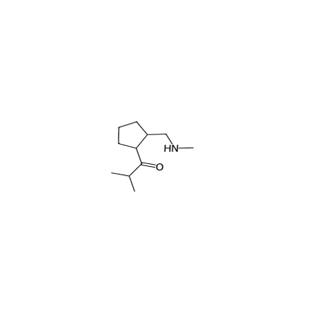 CNCC1CCCC1C(=O)C(C)C